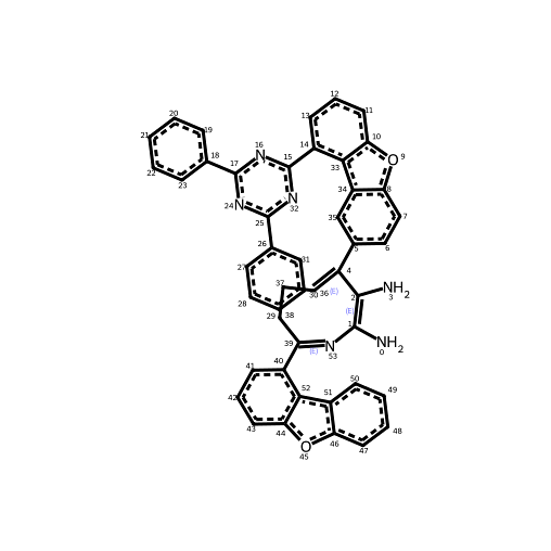 NC1=C(N)/C(c2ccc3oc4cccc(-c5nc(-c6ccccc6)nc(-c6ccccc6)n5)c4c3c2)=C/CC/C(c2cccc3oc4ccccc4c23)=N\1